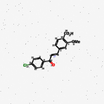 COc1cc(/C=C/C(=O)c2ccc(Cl)cc2)ccc1C(=O)O